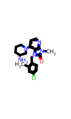 Cc1cc(Cl)ccc1Cn1c(=O)n(C)c2nccc(N3CCC[C@@H](N)C3)c21